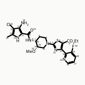 CCOC(=O)c1sc(N2CC[C@@H](NC(=O)c3[nH]c(C)c(Cl)c3N)[C@@H](OC)C2)nc1-c1ncccc1F